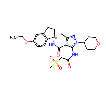 CS(=O)(=O)CC(=O)Nc1c2c(nn1C1CCOCC1)C[C@]1(CCc3cc(OCC(F)(F)F)ccc31)NC2=O